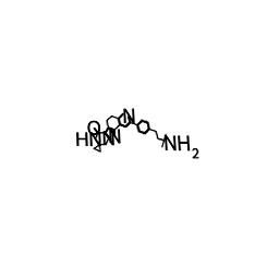 CC(C)(N)CCc1ccc(-c2cc3c(cn2)CCc2c-3nn3c2C(=O)NC2(CC2)C3)cc1